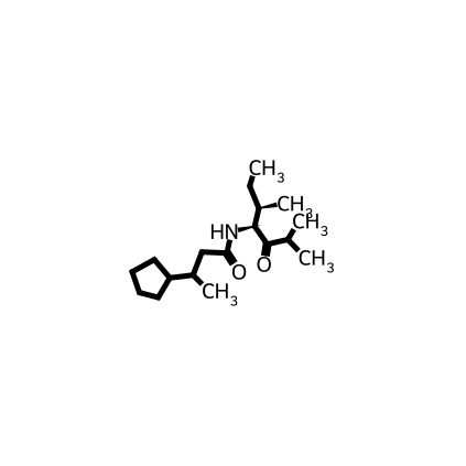 CC[C@@H](C)[C@H](NC(=O)CC(C)C1CCCC1)C(=O)C(C)C